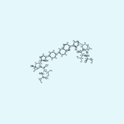 COC(=O)N[C@H](C(=O)N1C2C[C@@H]2C[C@H]1c1ncc(-c2ccc(-c3ccc4nc(-c5cnc([C@@H]6CC7C[C@H]7N6C(=O)[C@@H](NC(=O)OC)C(C)C)[nH]5)cnc4c3)cc2)[nH]1)C(C)C